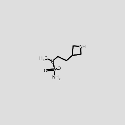 CN(CCC1CNC1)S(N)(=O)=O